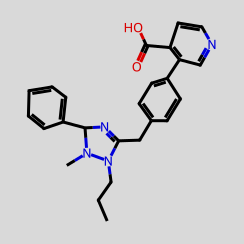 CCCN1C(Cc2ccc(-c3cnccc3C(=O)O)cc2)=NC(c2ccccc2)N1C